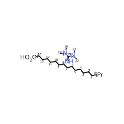 CC(C)CCCCCCCCCCCCCCC(=O)O.CN(C)C(=N)N(C)C